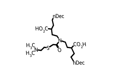 CCCCCCCCCCCCC(CCN(CCC(CCCCCCCCCCCC)C(=O)O)C(=O)CSCCN(C)C)C(=O)O